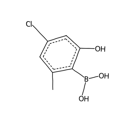 Cc1cc(Cl)cc(O)c1B(O)O